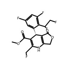 COC(=O)C1=C(CF)NC2=C(C(=O)OC2)[C@H]1c1cc(F)cc(F)c1C(F)CF